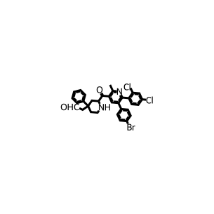 Cc1nc(-c2ccc(Cl)cc2Cl)c(-c2ccc(Br)cc2)cc1C(=O)C1CC(CC=O)(c2ccccc2)CCN1